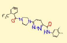 Cc1ccc(NC(=O)c2ccc(N3CCN(C(=O)c4ccccc4C(F)(F)F)CC3)nn2)cc1C